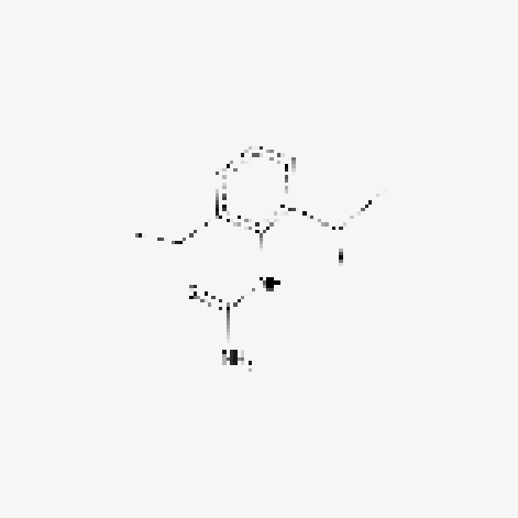 CCc1cccc(C(C)C)c1NC(N)=S